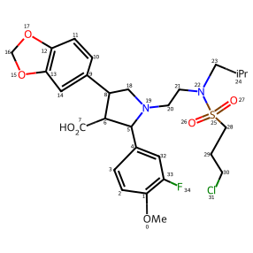 COc1ccc(C2C(C(=O)O)C(c3ccc4c(c3)OCO4)CN2CCN(CC(C)C)S(=O)(=O)CCCCl)cc1F